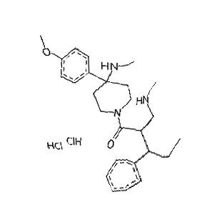 CCC(c1ccccc1)C(CNC)C(=O)N1CCC(NC)(c2ccc(OC)cc2)CC1.Cl.Cl